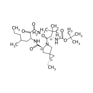 CCCC(C)CC(NC(=O)[C@@H]1CC2(C[C@@H]2CC)CN1C(=O)[C@@H](NC(=O)OC(C)(C)C)C(C)(C)C)C(=O)C(N)=O